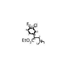 CCOC(=O)C(CN(C)C)c1ccc(F)c(Cl)c1